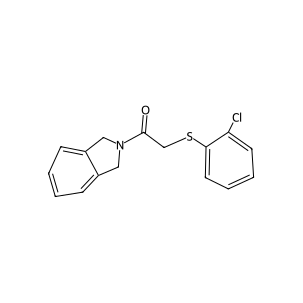 O=C(CSc1ccccc1Cl)N1Cc2ccccc2C1